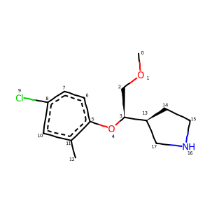 COC[C@H](Oc1ccc(Cl)cc1C)[C@H]1CCNC1